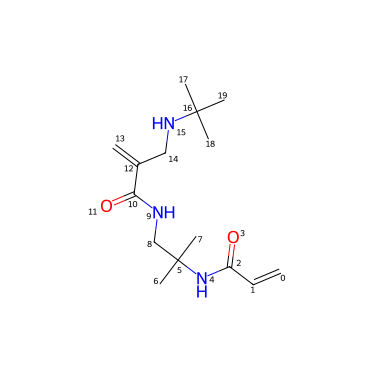 C=CC(=O)NC(C)(C)CNC(=O)C(=C)CNC(C)(C)C